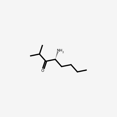 CCCC[C@@H](N)C(=O)C(C)C